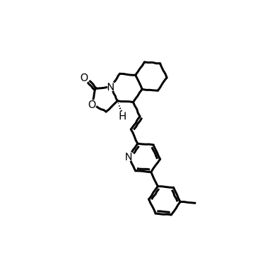 Cc1cccc(-c2ccc(/C=C/C3C4CCCCC4CN4C(=O)OC[C@H]34)nc2)c1